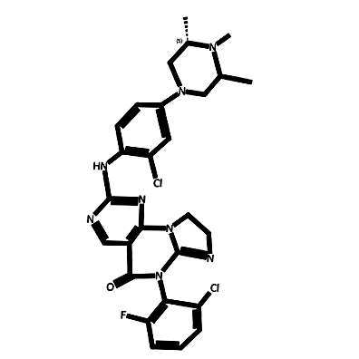 CC1CN(c2ccc(Nc3ncc4c(n3)N3CCN=C3N(c3c(F)cccc3Cl)C4=O)c(Cl)c2)C[C@H](C)N1C